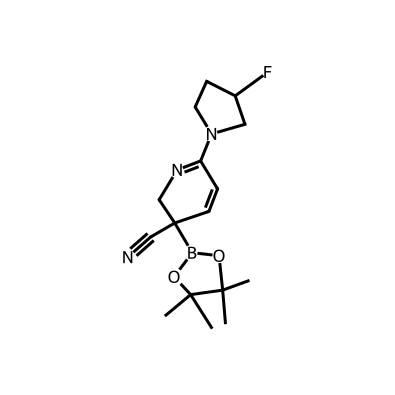 CC1(C)OB(C2(C#N)C=CC(N3CCC(F)C3)=NC2)OC1(C)C